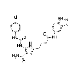 NC(=O)c1nc(CCCC(=O)Nc2ccc3[nH]nnc3c2)[nH]c1NC(=O)Nc1ccc(Cl)cc1